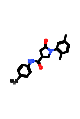 Cc1ccc(C)c(N2CC(C(=O)Nc3ccc([N+](=O)[O-])cc3)CC2=O)c1